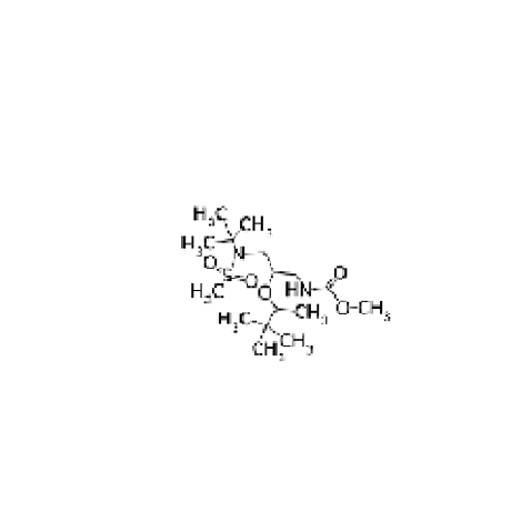 COC(=O)NCC(CN(C(C)(C)C)S(C)(=O)=O)OC(C)C(C)(C)C